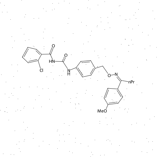 CCCC(=NOCc1ccc(NC(=O)NC(=O)c2ccccc2Cl)cc1)c1ccc(OC)cc1